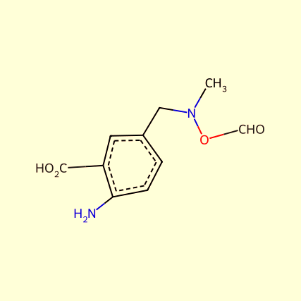 CN(Cc1ccc(N)c(C(=O)O)c1)OC=O